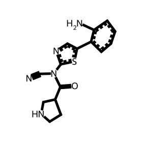 N#CN(C(=O)C1CCNC1)c1ncc(-c2ccccc2N)s1